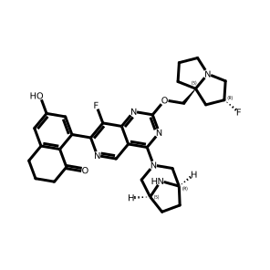 O=C1CCCc2cc(O)cc(-c3ncc4c(N5C[C@H]6CC[C@@H](C5)N6)nc(OC[C@@]56CCCN5C[C@H](F)C6)nc4c3F)c21